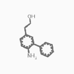 Nc1ccc(CCO)cc1-c1ccccc1